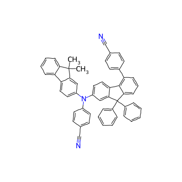 CC1(C)c2ccccc2-c2ccc(N(c3ccc(C#N)cc3)c3ccc4c(c3)C(c3ccccc3)(c3ccccc3)c3cccc(-c5ccc(C#N)cc5)c3-4)cc21